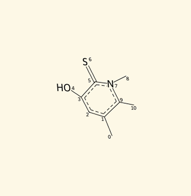 Cc1cc(O)c(=S)n(C)c1C